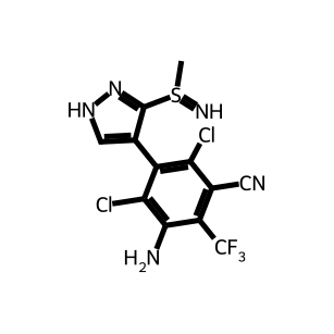 CS(=N)c1n[nH]cc1-c1c(Cl)c(N)c(C(F)(F)F)c(C#N)c1Cl